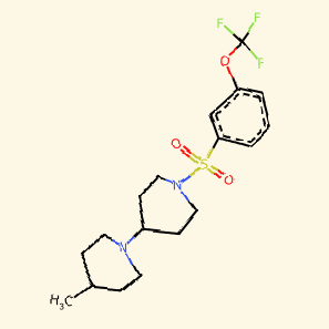 CC1CCN(C2CCN(S(=O)(=O)c3cccc(OC(F)(F)F)c3)CC2)CC1